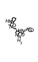 CC(c1cc2ccccc2[nH]1)N(C)C(=O)C=Cc1cnc(N)c(C(=O)NCCN2CCOCC2)c1